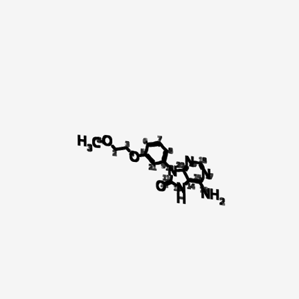 COCCOc1c[c]cc(-n2c(=O)[nH]c3c(N)ncnc32)c1